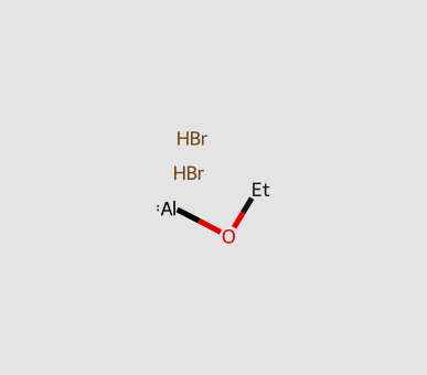 Br.Br.CC[O][Al]